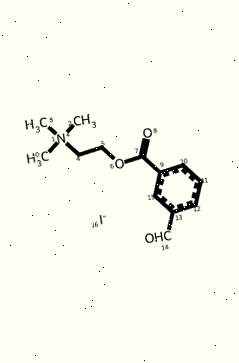 C[N+](C)(C)CCOC(=O)c1cccc(C=O)c1.[I-]